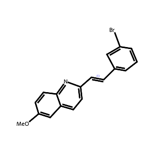 COc1ccc2nc(/C=C/c3cccc(Br)c3)ccc2c1